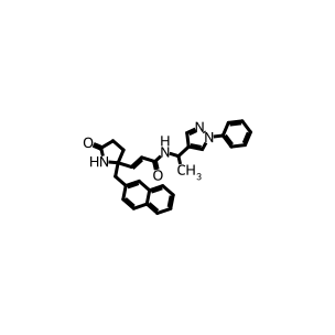 CC(NC(=O)C=CC1(Cc2ccc3ccccc3c2)CCC(=O)N1)c1cnn(-c2ccccc2)c1